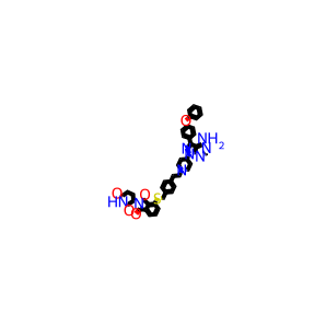 Nc1ncnc2c1c(-c1ccc(Oc3ccccc3)cc1)nn2C1CCN(CCc2ccc(CSc3cccc4c3C(=O)N(C3CCC(=O)NC3=O)C4=O)cc2)CC1